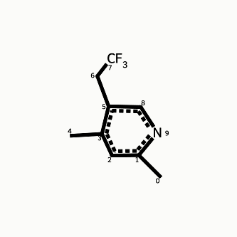 Cc1cc(C)c(CC(F)(F)F)cn1